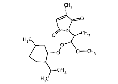 COC(OOC1CC(C)CCC1C(C)C)C(C)N1C(=O)C=C(C)C1=O